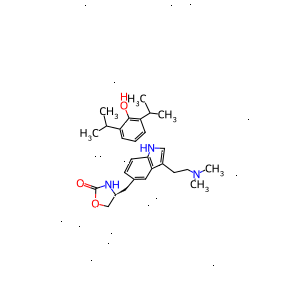 CC(C)c1cccc(C(C)C)c1O.CN(C)CCc1c[nH]c2ccc(C[C@H]3COC(=O)N3)cc12